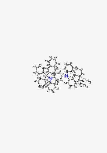 CC1(C)c2ccccc2-c2c(N(c3ccccc3)c3ccc4c(c3)c3ccccc3n4C3(c4ccc5ccccc5c4)c4ccccc4-c4ccccc43)cccc21